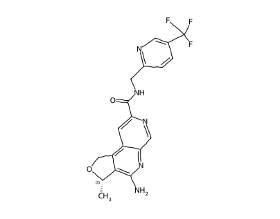 C[C@@H]1OCc2c1c(N)nc1cnc(C(=O)NCc3ccc(C(F)(F)F)cn3)cc21